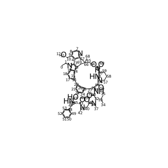 CCn1c(-c2cnccc2COC)c2c3cc(ccc31)-c1cc(O)cc(c1)C[C@H](NC(=O)[C@H](C(C)C)N(C)C(=O)CN(C)C(=O)[C@H]1N[C@@H]1c1ccccc1)C(=O)N1CCC[C@H](N1)C(=O)OCC(C)(C)C2